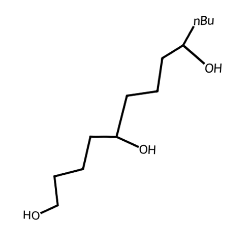 CCCCC(O)CCCC(O)CCCCO